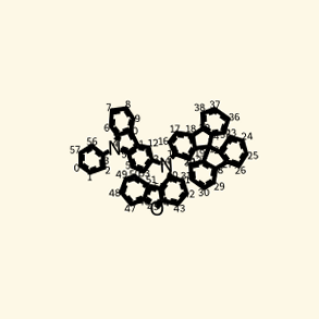 c1ccc(-n2c3ccccc3c3cc(N(c4ccc5c(c4)C4(c6ccccc6-c6ccccc64)c4ccccc4-5)c4cccc5oc6ccccc6c45)ccc32)cc1